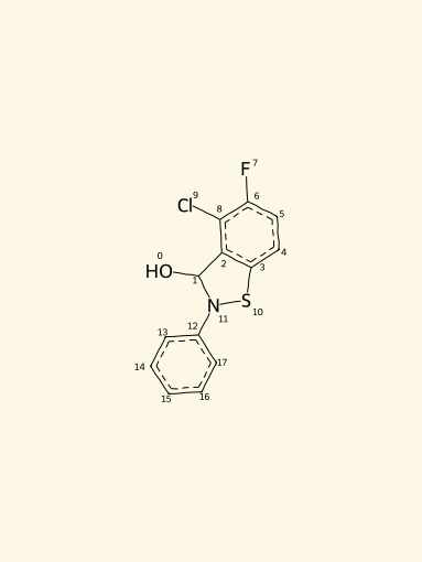 OC1c2c(ccc(F)c2Cl)SN1c1ccccc1